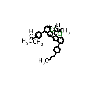 CCCCc1ccc(-c2cccc3c2C=C(CC)[CH]3[Zr]([Cl])([Cl])([CH]2C=Cc3c(-c4ccc(C(C)(C)C)cc4)cccc32)[SiH](C)C)cc1